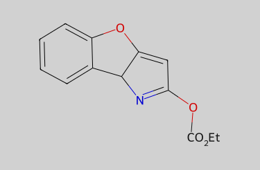 CCOC(=O)OC1=NC2C(=C1)Oc1ccccc12